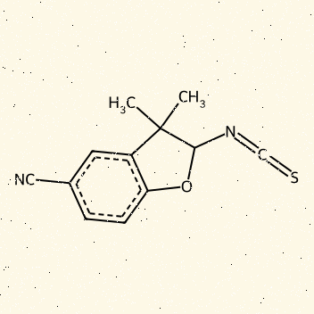 CC1(C)c2cc(C#N)ccc2OC1N=C=S